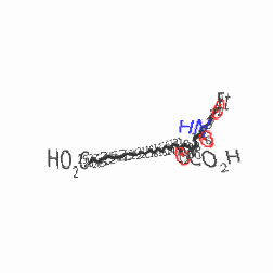 CCOCCNC(=O)CCC(CC(=O)CCCCCCCCCCCCCCCCC(=O)O)C(=O)O